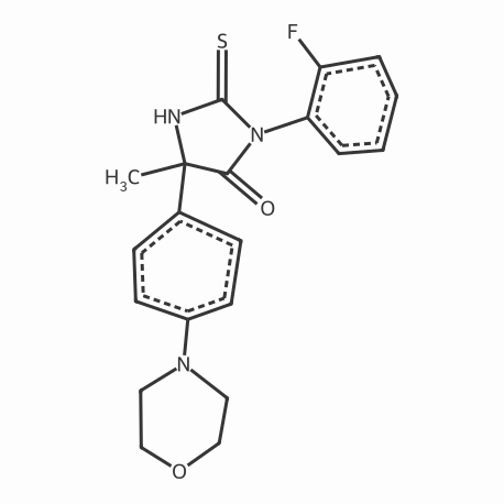 CC1(c2ccc(N3CCOCC3)cc2)NC(=S)N(c2ccccc2F)C1=O